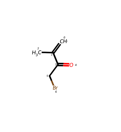 [CH]=C(C)C(=O)CBr